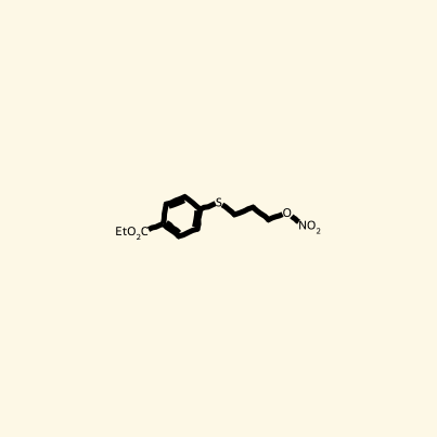 C[CH]OC(=O)c1ccc(SCCCO[N+](=O)[O-])cc1